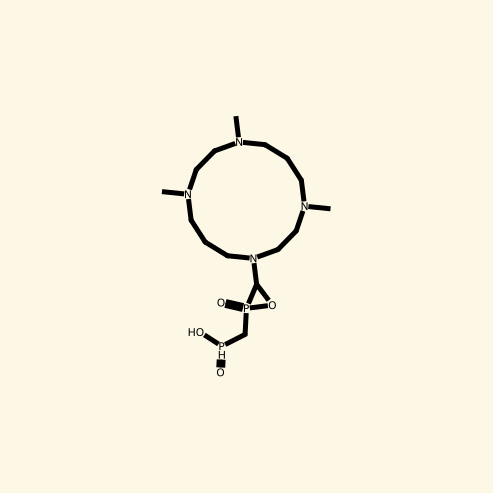 CN1CCCN(C)CCN(C2OP2(=O)C[PH](=O)O)CCCN(C)CC1